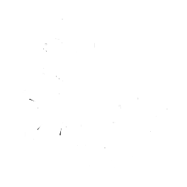 Cc1cn([C@@H]2O[C@](F)(COP3(=O)OCc4cc(Cl)ccc4O3)[C@@H](O)[C@H]2O)c(=S)[nH]c1=O